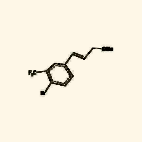 [CH2]OCC=Cc1ccc(Br)c(C(F)(F)F)c1